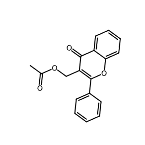 CC(=O)OCc1c(-c2ccccc2)oc2ccccc2c1=O